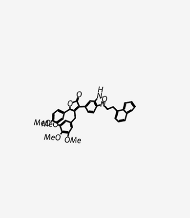 COc1ccc([C]2OC(=O)C(c3ccc4c(c3)NON4CCc3cccc4ccccc34)=C2Cc2cc(OC)c(OC)c(OC)c2)cc1